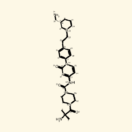 CC(C)(N)C(=O)N1CCN(C(=O)Nc2ccn(-c3ccc(CCN4CCC[C@@H](CN)C4)cc3)c(=O)n2)CC1